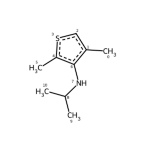 Cc1csc(C)c1NC(C)C